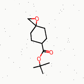 CC(C)(C)OC(=O)C1CCC2(CC1)CO2